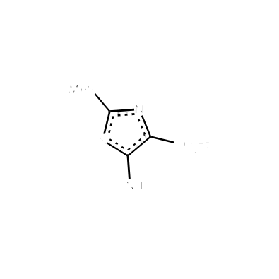 CCOC(=O)c1nc(SC)sc1N